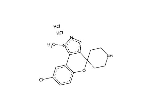 Cl.Cl.Cn1ncc2c1-c1cc(Cl)ccc1OC21CCNCC1